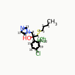 CCCCSCC(O)(Cn1ccnc1)c1ccc(Cl)cc1Cl.Cl